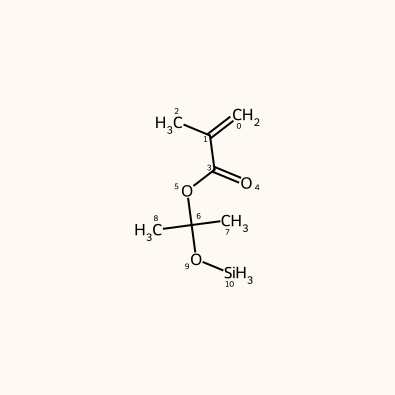 C=C(C)C(=O)OC(C)(C)O[SiH3]